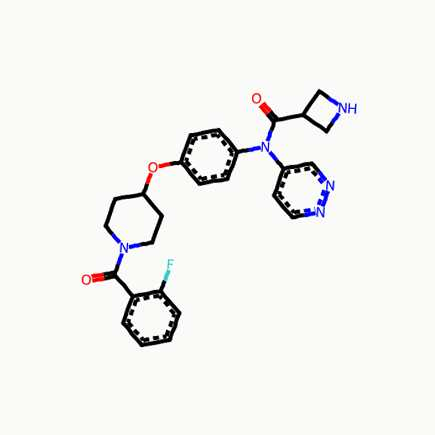 O=C(c1ccccc1F)N1CCC(Oc2ccc(N(C(=O)C3CNC3)c3ccnnc3)cc2)CC1